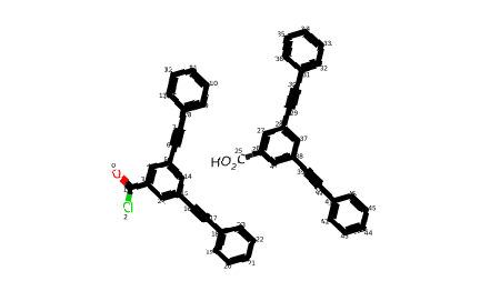 O=C(Cl)c1cc(C#Cc2ccccc2)cc(C#Cc2ccccc2)c1.O=C(O)c1cc(C#Cc2ccccc2)cc(C#Cc2ccccc2)c1